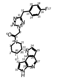 C[C@@H]1CCN(C(=O)Cn2nnc(Cc3ccc(F)cc3)n2)C[C@@H]1n1ccc2cnc3[nH]ccc3c21